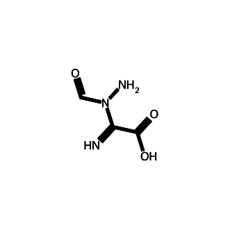 N=C(C(=O)O)N(N)C=O